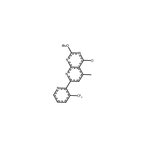 Cc1cc(-c2ncccc2C(F)(F)F)nc2nc(OCC(C)C)nc(Cl)c12